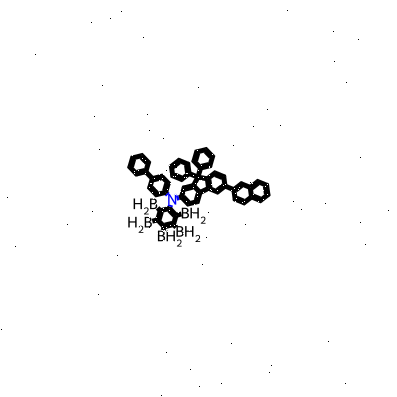 Bc1c(B)c(B)c(N(c2ccc(-c3ccccc3)cc2)c2ccc3c(c2)C(c2ccccc2)(c2ccccc2)c2ccc(-c4ccc5ccccc5c4)cc2-3)c(B)c1B